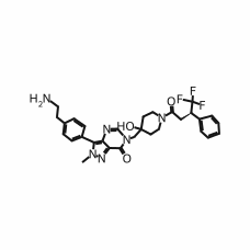 Cn1nc2c(=O)n(CC3(O)CCN(C(=O)C[C@H](c4ccccc4)C(F)(F)F)CC3)cnc2c1-c1ccc(CCN)cc1